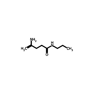 C=C(N)CCC(=O)NCCC